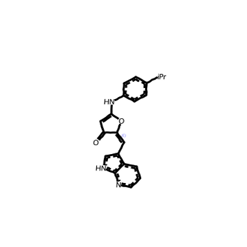 CC(C)c1ccc(NC2=CC(=O)/C(=C\c3c[nH]c4ncccc34)O2)cc1